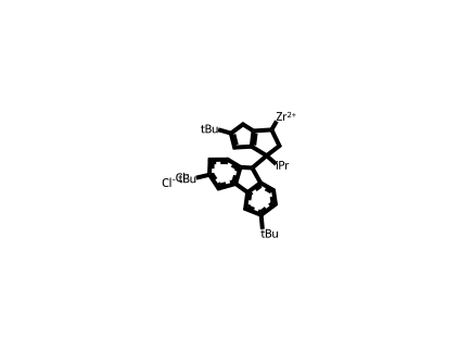 CC(C)C1(C2c3ccc(C(C)(C)C)cc3-c3cc(C(C)(C)C)ccc32)C[CH]([Zr+2])C2=C1C=C(C(C)(C)C)C2.[Cl-].[Cl-]